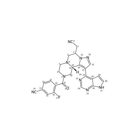 N#CCC1CN2CCN(C(=O)c3ccc(C#N)cc3F)C[C@H]2c2c(-c3ncnc4[nH]ccc34)cnn21